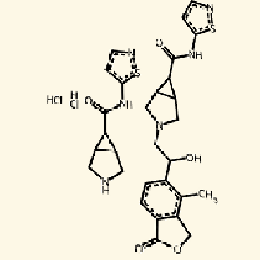 Cc1c(C(O)CN2CC3C(C2)C3C(=O)Nc2ccns2)ccc2c1COC2=O.Cl.Cl.O=C(Nc1ccns1)C1C2CNCC21